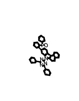 O=P1(c2ccccc2)c2ccccc2-c2cc3c(cc21)c1c2ccccc2ccc1n3-c1nc(-c2ccccc2)nc(-c2ccccc2)n1